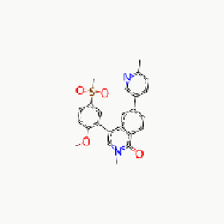 COc1ccc(S(C)(=O)=O)cc1-c1cn(C)c(=O)c2ccc(-c3ccc(C)nc3)cc12